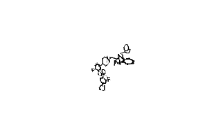 CC1(c2ccc(Cl)cc2F)Oc2c(F)ccc(C3CCN(Cc4nc5ccccc5n4C[C@@H]4CCO4)CC3)c2O1